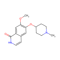 COc1cc2c(=O)[nH]ccc2cc1OC1CCN(C)CC1